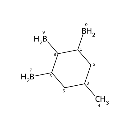 BC1CC(C)CC(B)C1B